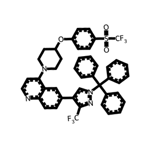 O=S(=O)(c1ccc(OC2CCN(c3ccnc4ccc(-c5cn(C(c6ccccc6)(c6ccccc6)c6ccccc6)nc5C(F)(F)F)cc34)CC2)cc1)C(F)(F)F